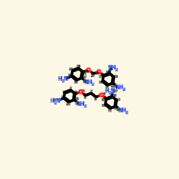 Nc1ccc(OCCCOc2ccc(N)cc2N)c(N)c1.Nc1ccc(OCOc2ccc(N)cc2N)c(N)c1